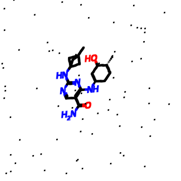 C[C@@H]1CC[C@@H](Nc2nc(NC34CC(C)(C3)C4)ncc2C(N)=O)CC1O